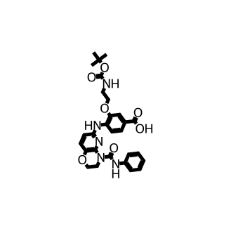 CC(C)(C)OC(=O)NCCOc1cc(C(=O)O)ccc1Nc1ccc2c(n1)N(C(=O)Nc1ccccc1)CCO2